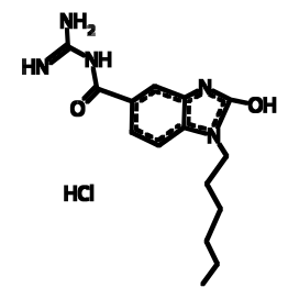 CCCCCCn1c(O)nc2cc(C(=O)NC(=N)N)ccc21.Cl